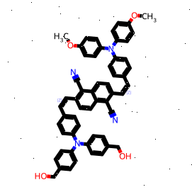 COc1ccc(N(c2ccc(/C=C\c3ccc4c(C#N)c(/C=C\c5ccc(N(c6ccc(CO)cc6)c6ccc(CO)cc6)cc5)ccc4c3C#N)cc2)c2ccc(OC)cc2)cc1